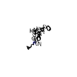 N#C/C(=C\CCCC1CC1)C(=O)N1CCC[C@@H](n2nc(-c3ccc(Oc4ccccc4)cc3)c3c(N)n[nH]c(=O)c32)C1